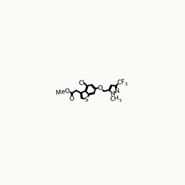 COC(=O)Cc1csc2cc(OCc3cc(C(F)(F)F)nn3C)cc(Cl)c12